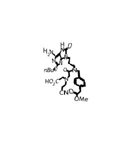 CCCCOc1nc(N)c2[nH]c(=O)n(CCCN(Cc3ccc(CC(=O)OC)cc3)C(=O)CN(CCC#N)CC(=O)O)c2n1